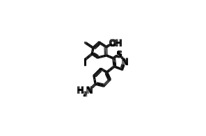 CCc1cc(-c2sncc2-c2ccc(N)cc2)c(O)cc1C